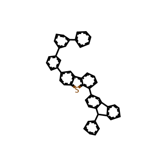 c1ccc(-c2cccc(-c3cccc(-c4ccc5sc6c(-c7ccc8c(c7)-c7ccccc7C8c7ccccc7)cccc6c5c4)c3)c2)cc1